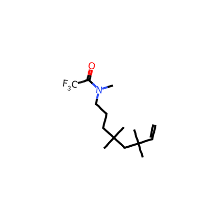 C=CC(C)(C)CC(C)(C)CCCN(C)C(=O)C(F)(F)F